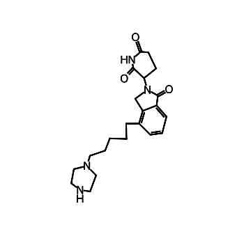 O=C1CCC(N2Cc3c(CCCCCN4CCNCC4)cccc3C2=O)C(=O)N1